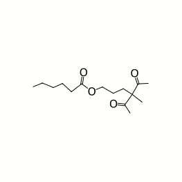 CCCCCC(=O)OCCCC(C)(C(C)=O)C(C)=O